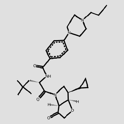 CCCN1CCN(c2ccc(C(=O)N[C@@H](CC(C)(C)C)C(=O)N3C[C@@H](C4CC4)[C@H]4OCC(=O)[C@H]43)cc2)CC1